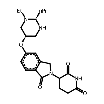 CCC[C@H]1NC[C@@H](Oc2ccc3c(c2)CN(C2CCC(=O)NC2=O)C3=O)CN1CC